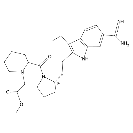 CCc1c(CC[C@@H]2CCCN2C(=O)C2CCCCN2CC(=O)OC)[nH]c2cc(C(=N)N)ccc12